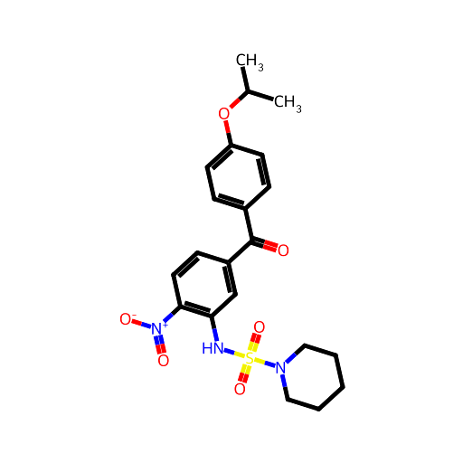 CC(C)Oc1ccc(C(=O)c2ccc([N+](=O)[O-])c(NS(=O)(=O)N3CCCCC3)c2)cc1